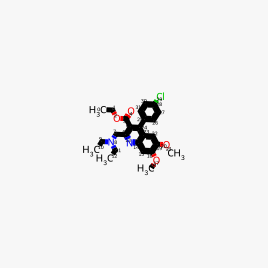 CCOC(=O)c1c(CN(CC)CC)nc2cc(OC)c(OC)cc2c1-c1ccc(Cl)cc1